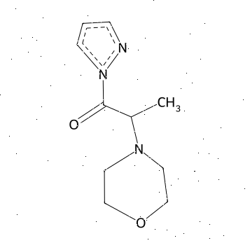 CC(C(=O)n1cccn1)N1CCOCC1